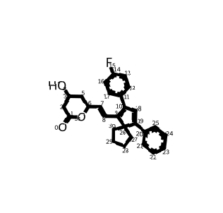 O=C1CC(O)CC(C=CC2=C(c3ccc(F)cc3)C=C(c3ccccc3)C23CCCC3)O1